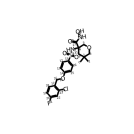 CC1(C)COCC(NS(=O)(=O)c2ccc(OCc3ccc(F)cc3Cl)cc2)(C(=O)NO)C1